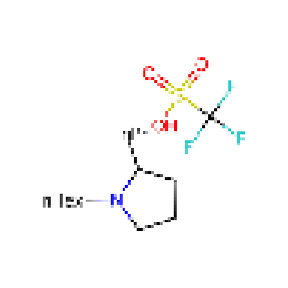 CCCCCCN1CCCC1CCC.O=S(=O)(O)C(F)(F)F